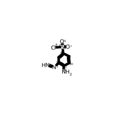 N=Nc1cc(S(=O)(=O)Cl)ccc1N